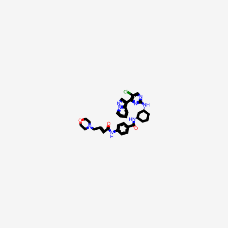 O=C(/C=C/CN1CCOCC1)Nc1ccc(C(=O)N[C@H]2CCC[C@@H](Nc3ncc(Cl)c(-c4cnn5ccccc45)n3)C2)cc1